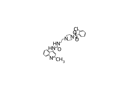 Cc1cc(NC(=O)NCCN2CCN(S(=O)(=O)c3ccccc3Cl)CC2)c2ccccc2n1